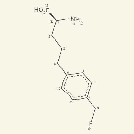 N[C@@H](CCCc1ccc(CF)cc1)C(=O)O